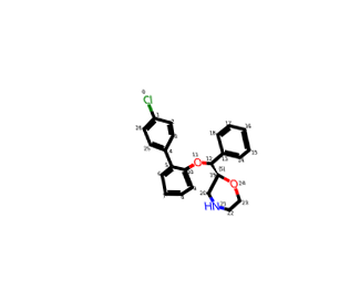 Clc1ccc(-c2ccccc2OC(c2ccccc2)[C@@H]2CNCCO2)cc1